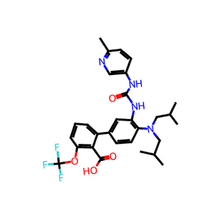 Cc1ccc(NC(=O)Nc2cc(-c3cccc(OC(F)(F)F)c3C(=O)O)ccc2N(CC(C)C)CC(C)C)cn1